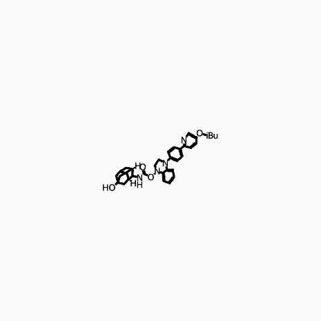 CCC(C)Oc1ccc(-c2ccc(N3CCN(OC(=O)NC4[C@@H]5CC6C[C@H]4CC(O)(C6)C5)c4ccccc43)cc2)nc1